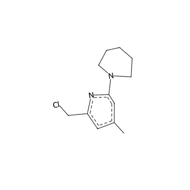 Cc1cc(CCl)nc(N2CCCCC2)c1